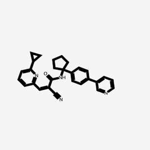 N#CC(=Cc1cccc(C2CC2)n1)C(=O)NC1(c2ccc(-c3cccnc3)cc2)CCCC1